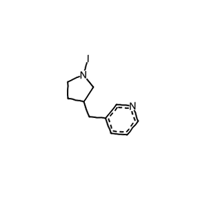 IN1CCC(Cc2cccnc2)C1